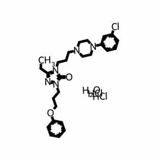 CCc1nn(CCCOc2ccccc2)c(=O)n1CCCN1CCN(c2cccc(Cl)c2)CC1.Cl.Cl.O